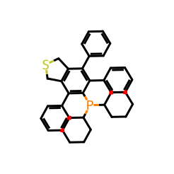 c1ccc(-c2c3c(c(-c4ccccc4)c(P(C4CCCCC4)C4CCCCC4)c2-c2ccccc2)CSC3)cc1